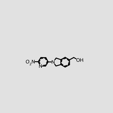 O=[N+]([O-])c1ccc(N2Cc3ccc(CO)cc3C2)cn1